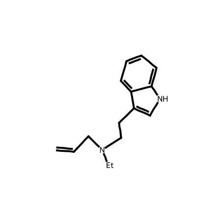 C=CCN(CC)CCc1c[nH]c2ccccc12